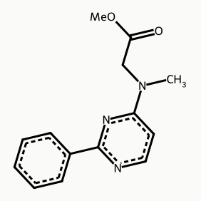 COC(=O)CN(C)c1ccnc(-c2ccccc2)n1